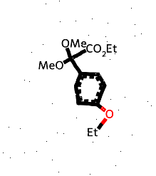 CCOC(=O)C(OC)(OC)c1ccc(OCC)cc1